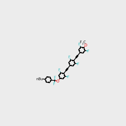 CCCCc1ccc(C(F)(F)Oc2cc(F)c(C#Cc3cc(F)c(C#Cc4cc(F)c(OC(F)(F)F)c(F)c4)c(F)c3)c(F)c2)cc1